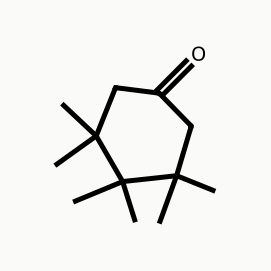 CC1(C)CC(=O)CC(C)(C)C1(C)C